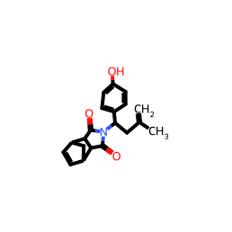 C=C(C)CC(c1ccc(O)cc1)N1C(=O)C2C3C=CC(C3)C2C1=O